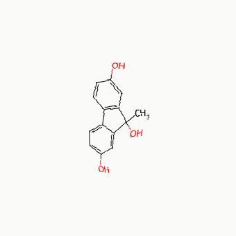 CC1(O)c2cc(O)ccc2-c2ccc(O)cc21